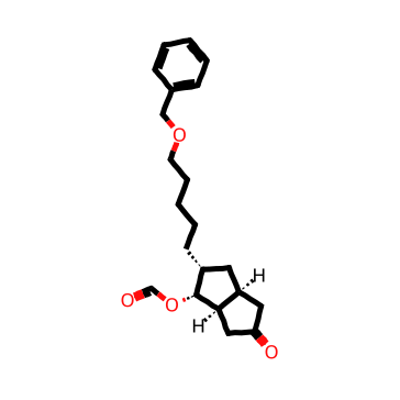 O=CO[C@@H]1[C@H](CCCCCOCc2ccccc2)C[C@H]2CC(=O)C[C@H]21